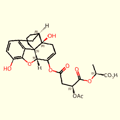 CC(=O)O[C@@H](CC(=O)OC1=CC[C@@]2(O)[C@@H]3CCC[C@@]24c2c(ccc(O)c2O[C@@H]14)C3)C(=O)O[C@@H](C)C(=O)O